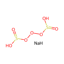 O=S(O)OOOS(=O)O.[NaH]